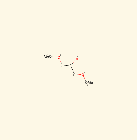 COOCC(O)COOC